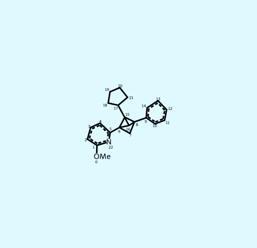 COc1cccc(C23CC(c4ccccc4)(C2)C3C2CCCC2)n1